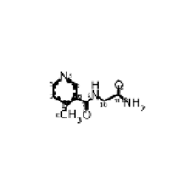 Cc1ccncc1C(=O)NCC(N)=O